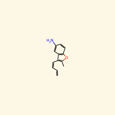 C=C/C=C\c1c(C)oc2ccc(N)cc12